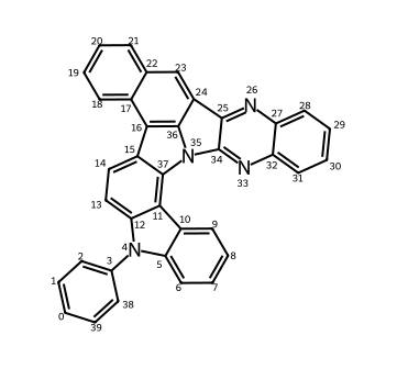 c1ccc(-n2c3ccccc3c3c2ccc2c4c5ccccc5cc5c6nc7ccccc7nc6n(c54)c23)cc1